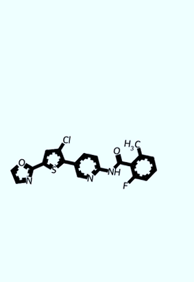 Cc1cccc(F)c1C(=O)Nc1ccc(-c2sc(-c3ncco3)cc2Cl)cn1